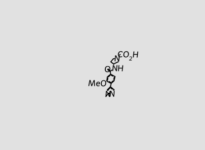 COc1cc(C(=O)N[C@@H]2CCN(C(=O)O)C2)ccc1-c1cnn(C)c1